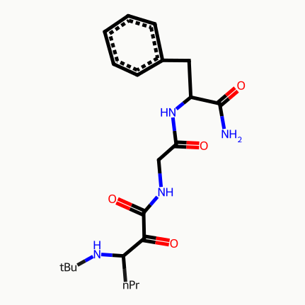 CCCC(NC(C)(C)C)C(=O)C(=O)NCC(=O)NC(Cc1ccccc1)C(N)=O